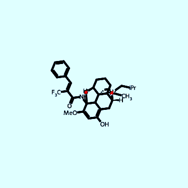 COC1=CC(O)=C2C[C@@H]3[C@@H]4CCC[C@@H]5OC1(NC(=O)C(=Cc1ccccc1)C(F)(F)F)C2[C@@]54CC[N+]3(C)CC(C)C